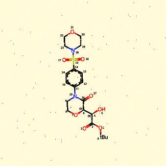 CC(C)(C)OC(=O)[C@H](O)[C@H]1OCCN(c2ccc(S(=O)(=O)N3CCOCC3)cc2)C1=O